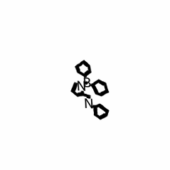 C(=N\c1ccccc1)/c1cccn1B(c1ccccc1)c1ccccc1